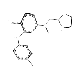 Cc1ccc(Nc2nc(N(C)CC3OCCO3)ccc2[N+](=O)[O-])cc1